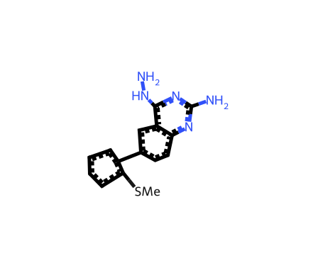 CSc1ccccc1-c1ccc2nc(N)nc(NN)c2c1